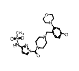 CS(=O)(=O)Nc1ccn(C(=O)N2CCN(Cc3ccc(Cl)cc3N3CCOCC3)CC2)n1